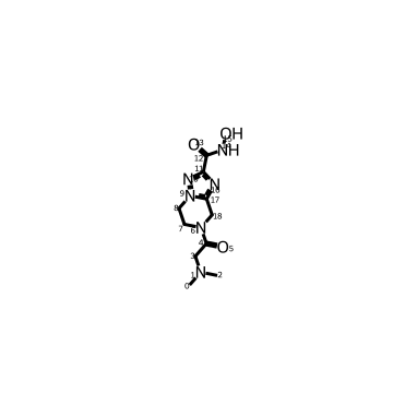 CN(C)CC(=O)N1CCn2nc(C(=O)NO)nc2C1